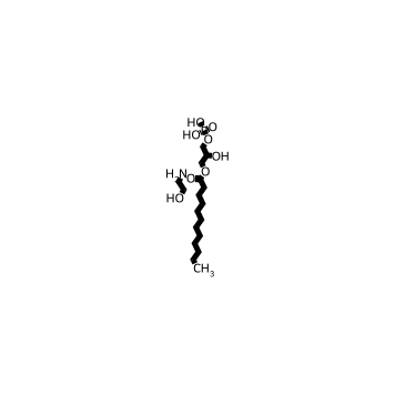 CCCCCCCCCCCC(=O)OCC(O)COP(=O)(O)O.NCCO